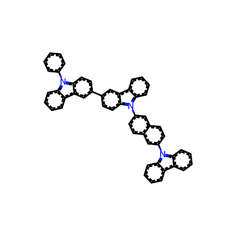 c1ccc(-n2c3ccccc3c3cc(-c4ccc5c(c4)c4ccccc4n5-c4ccc5cc(-n6c7ccccc7c7ccccc76)ccc5c4)ccc32)cc1